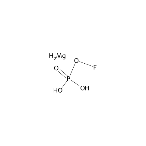 O=P(O)(O)OF.[MgH2]